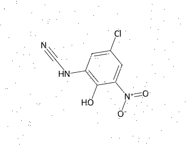 N#CNc1cc(Cl)cc([N+](=O)[O-])c1O